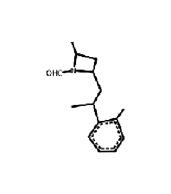 Cc1ccccc1C(C)CC1CC(C)N1C=O